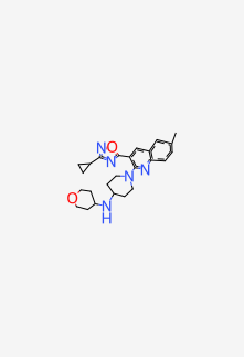 Cc1ccc2nc(N3CCC(NC4CCOCC4)CC3)c(-c3nc(C4CC4)no3)cc2c1